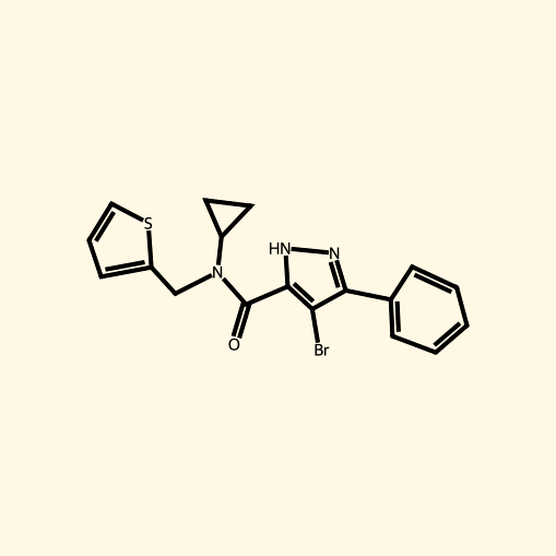 O=C(c1[nH]nc(-c2ccccc2)c1Br)N(Cc1cccs1)C1CC1